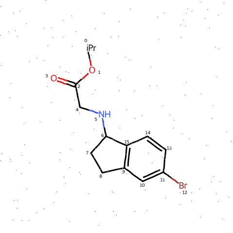 CC(C)OC(=O)CNC1CCc2cc(Br)ccc21